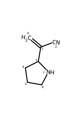 C=C(C#N)C1CCCN1